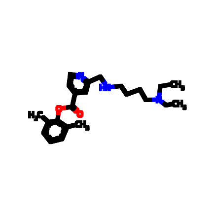 CCN(CC)CCCCNCc1cc(C(=O)Oc2c(C)cccc2C)ccn1